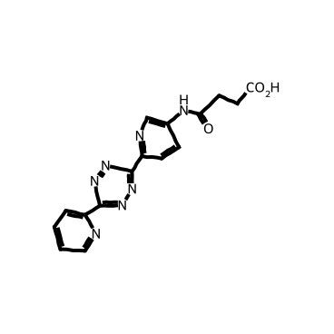 O=C(O)CCC(=O)Nc1ccc(-c2nnc(-c3ccccn3)nn2)nc1